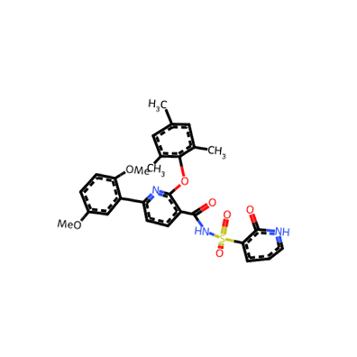 COc1ccc(OC)c(-c2ccc(C(=O)NS(=O)(=O)c3ccc[nH]c3=O)c(Oc3c(C)cc(C)cc3C)n2)c1